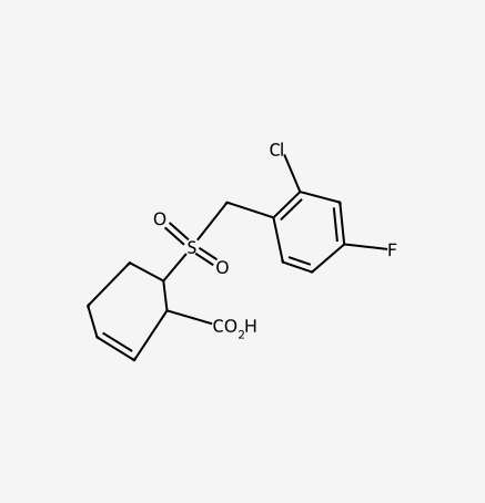 O=C(O)C1C=CCCC1S(=O)(=O)Cc1ccc(F)cc1Cl